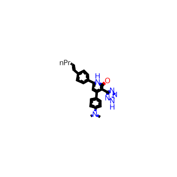 CCCC=Cc1ccc(-c2cc(-c3ccc(N(C)C)cc3)c(-c3nn[nH]n3)c(=O)[nH]2)cc1